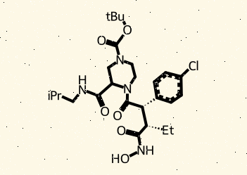 CC[C@H](C(=O)NO)[C@H](C(=O)N1CCN(C(=O)OC(C)(C)C)CC1C(=O)NCC(C)C)c1ccc(Cl)cc1